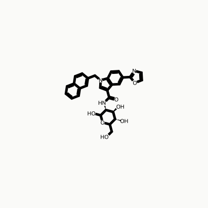 O=C(N[C@H]1C(O)OC(CO)[C@@H](O)[C@@H]1O)c1cn(Cc2ccc3ccccc3c2)c2ccc(-c3ncco3)cc12